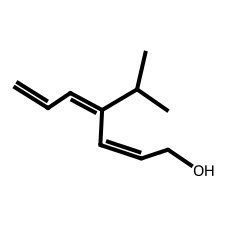 C=C/C=C(\C=C/CO)C(C)C